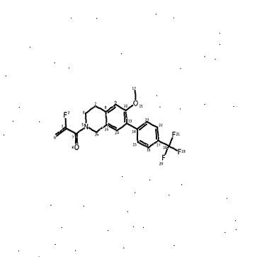 C=C(F)C(=O)N1CCc2cc(OC)c(-c3ccc(C(F)(F)F)cc3)cc2C1